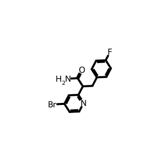 NC(=O)C(Cc1ccc(F)cc1)c1cc(Br)ccn1